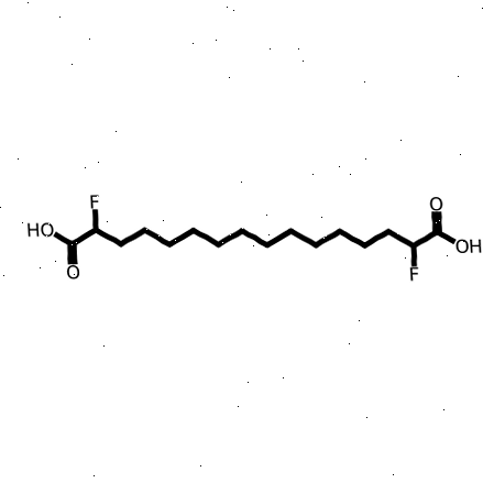 O=C(O)C(F)CCCCCCCCCCCCC(F)C(=O)O